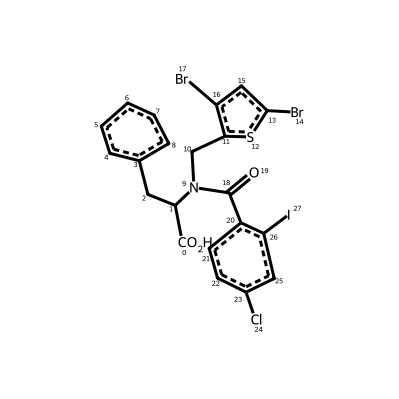 O=C(O)C(Cc1ccccc1)N(Cc1sc(Br)cc1Br)C(=O)c1ccc(Cl)cc1I